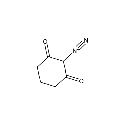 N#[N+]C1C(=O)CCCC1=O